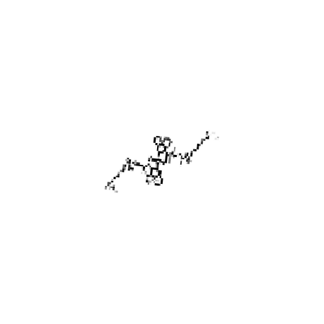 CCCCCCCCS(=O)(=O)NCCC(=O)Nc1c(C2=C([O-])/C(=c3/cc4c5c(c3NC(=O)CCNS(=O)(=O)CCCCCCCC)CCC[N+]=5CCC4)C2=O)cc2c3c1CCCN3CCC2